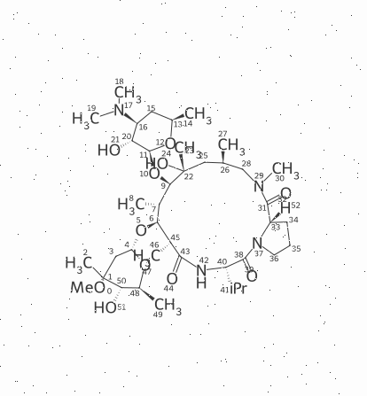 CO[C@]1(C)C[C@H](O[C@H]2[C@H](C)[C@@H](O[C@@H]3O[C@H](C)C[C@H](N(C)C)[C@H]3O)[C@](C)(O)C[C@@H](C)CN(C)C(=O)[C@@H]3CCCN3C(=O)[C@H](C(C)C)NC(=O)[C@@H]2C)O[C@@H](C)[C@@H]1O